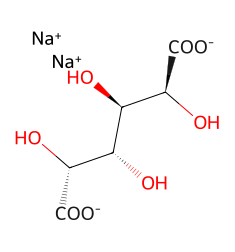 O=C([O-])[C@@H](O)[C@H](O)[C@H](O)[C@@H](O)C(=O)[O-].[Na+].[Na+]